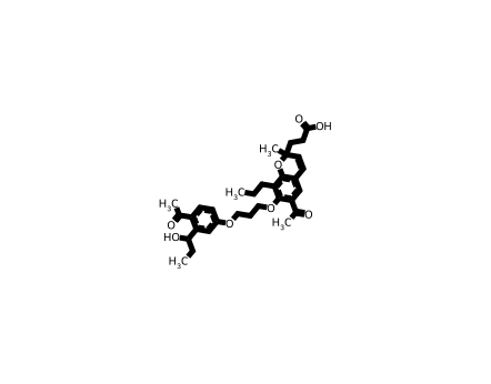 CCCc1c2c(cc(C(C)=O)c1OCCCOc1ccc(C(C)=O)c(C(O)CC)c1)C=CC(C)(CCC(=O)O)O2